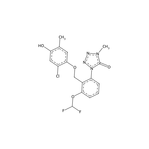 Cc1cc(OCc2c(OC(F)F)cccc2-n2nnn(C)c2=O)c(Cl)cc1O